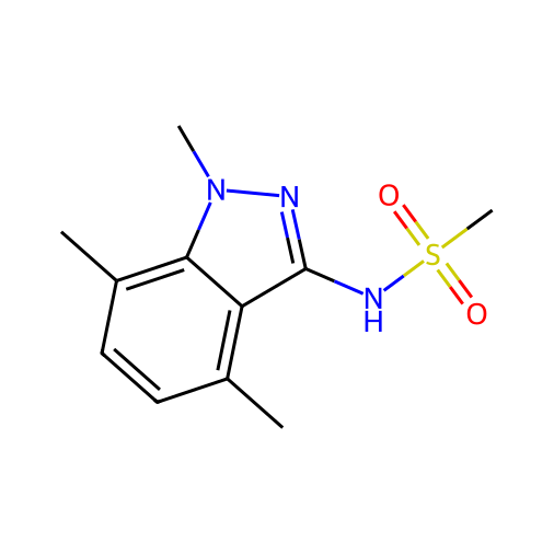 Cc1ccc(C)c2c1c(NS(C)(=O)=O)nn2C